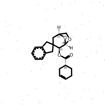 O=C(O[C@@H]1[C@@H]2OC[C@H](CC13Cc1ccccc1C3)O2)[C@H]1CC=CCC1